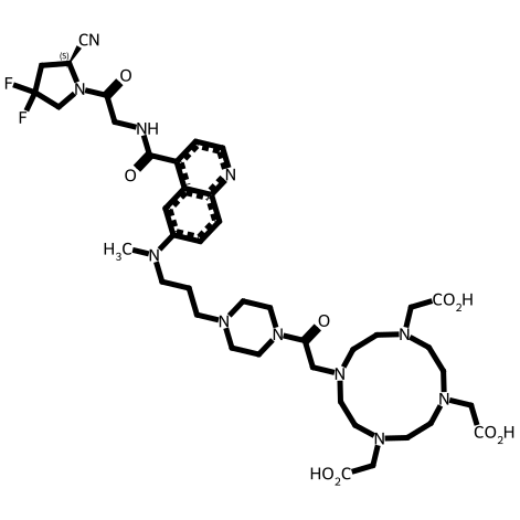 CN(CCCN1CCN(C(=O)CN2CCN(CC(=O)O)CCN(CC(=O)O)CCN(CC(=O)O)CC2)CC1)c1ccc2nccc(C(=O)NCC(=O)N3CC(F)(F)C[C@H]3C#N)c2c1